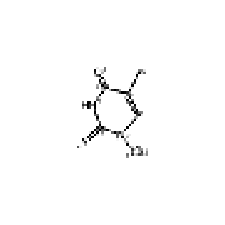 Cc1cn(C(C)(C)C)c(=S)[nH]c1=O